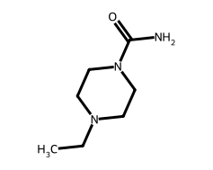 CCN1CCN(C(N)=O)CC1